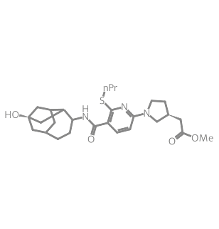 CCCSc1nc(N2CC[C@@H](CC(=O)OC)C2)ccc1C(=O)NC1CCC2CC3C[C@@](O)(C2)CC31